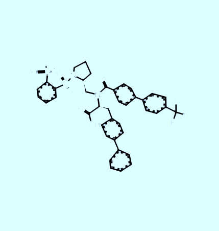 CS(=O)(=O)c1ccccc1S(=O)(=O)N1CCC[C@H]1CN(C(=O)c1ccc(-c2ccc(C(F)(F)F)cc2)cc1)[C@@H](Cc1ccc(-c2ccccc2)cc1)C(=O)O